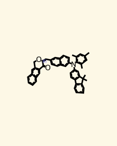 Cc1cc(C)c(N(c2ccc3c(c2)C(C)(C)c2ccccc2-3)c2ccc3cc(/C=C4/OCc5cc6ccccc6cc5C4=O)ccc3c2)c(C)c1